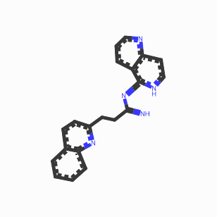 N=C(CCc1ccc2ccccc2n1)/N=c1\[nH]ccc2ncccc12